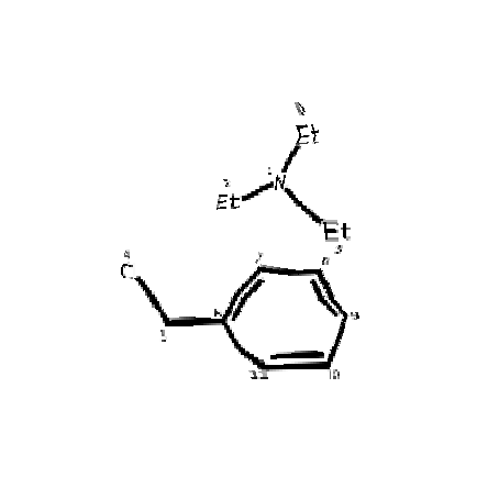 CCN(CC)CC.ClCc1ccccc1